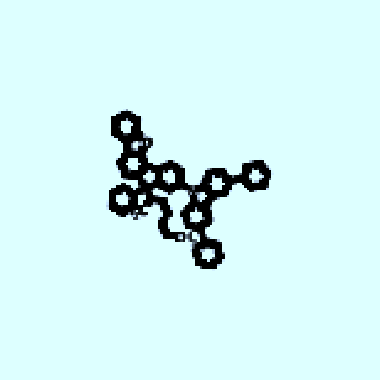 C=C(/C=C\C=C/C)C1(c2ccccc2)c2cc(-n3c4ccc(-c5ccccc5)cc4c4cc(-c5ccccc5)ccc43)ccc2-c2c1ccc1c2oc2ccccc21